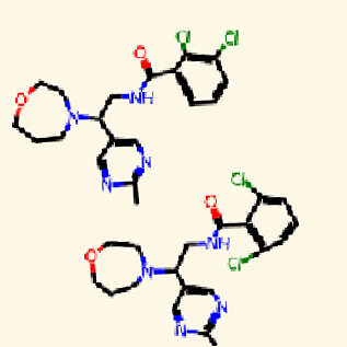 Cc1ncc(C(CNC(=O)c2c(Cl)cccc2Cl)N2CCCOCC2)cn1.Cc1ncc(C(CNC(=O)c2cccc(Cl)c2Cl)N2CCCOCC2)cn1